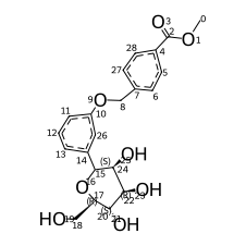 COC(=O)c1ccc(COc2cccc(C3O[C@H](CO)[C@@H](O)[C@H](O)[C@@H]3O)c2)cc1